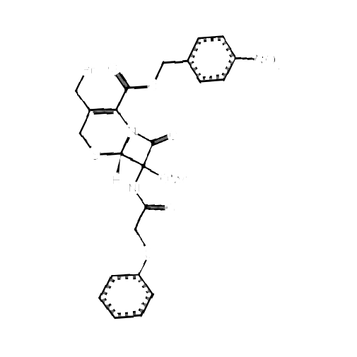 COC1(NC(=O)COc2ccccc2)C(=O)N2C(C(=O)OCc3ccc([N+](=O)[O-])cc3)=C(CBr)CS[C@H]21